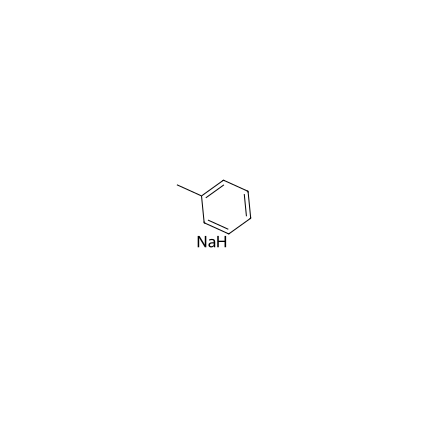 Cc1ccccc1.[NaH]